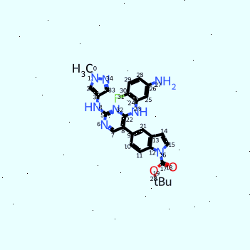 Cn1cc(Nc2ncc(-c3ccc4c(ccn4C(=O)OC(C)(C)C)c3)c(Nc3cc(N)ccc3F)n2)cn1